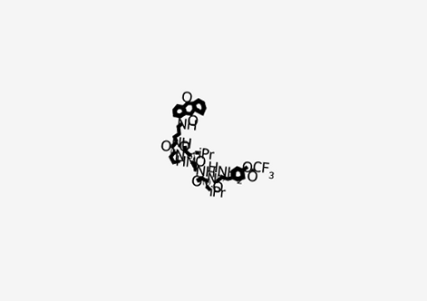 CC(C)C[C@H](NC(=O)[C@@H](N)Cc1ccc(OC(=O)C(F)(F)F)cc1)C(=O)NCC(=O)N[C@@H](CC(C)C)C(=O)N1CCC[C@H]1C(=O)NCCCNc1cccc2c1C(=O)c1ccccc1C2=O